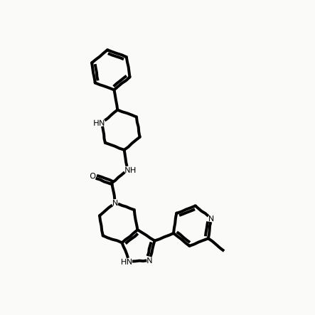 Cc1cc(-c2n[nH]c3c2CN(C(=O)NC2CCC(c4ccccc4)NC2)CC3)ccn1